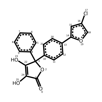 O=C1OC(c2ccccc2)(c2ccc(-c3cc(Cl)co3)cc2)C(O)=C1O